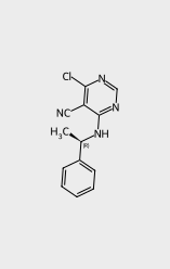 C[C@@H](Nc1ncnc(Cl)c1C#N)c1ccccc1